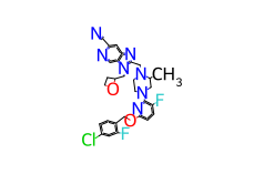 CC1CN(c2nc(OCc3ccc(Cl)cc3F)ccc2F)CCN1Cc1nc2cc(C#N)ncc2n1CC1CCO1